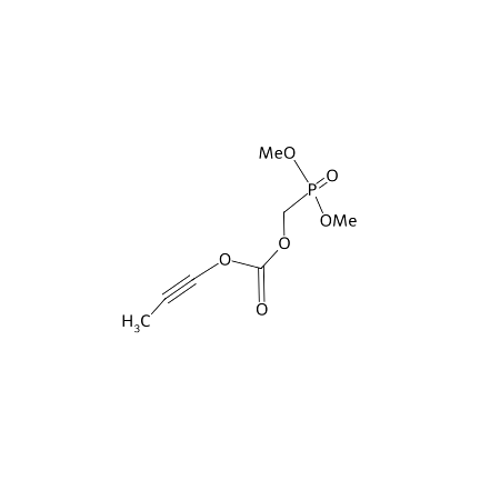 CC#COC(=O)OCP(=O)(OC)OC